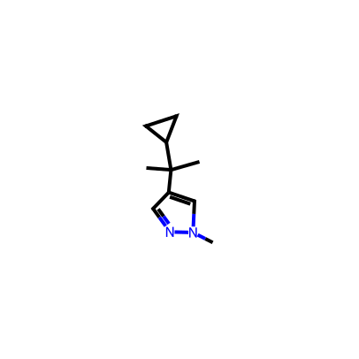 Cn1cc(C(C)(C)C2CC2)cn1